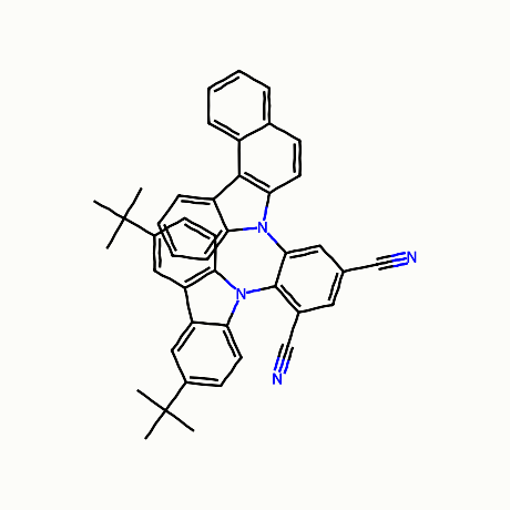 CC(C)(C)c1ccc2c(c1)c1cc(C(C)(C)C)ccc1n2-c1c(C#N)cc(C#N)cc1-n1c2ccccc2c2c3ccccc3ccc21